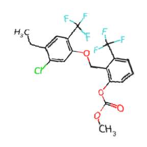 CCc1cc(C(F)(F)F)c(OCc2c(OC(=O)OC)cccc2C(F)(F)F)cc1Cl